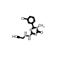 C#CCNNc1nc(-c2cccc(Cl)c2)n(C)c(=O)n1